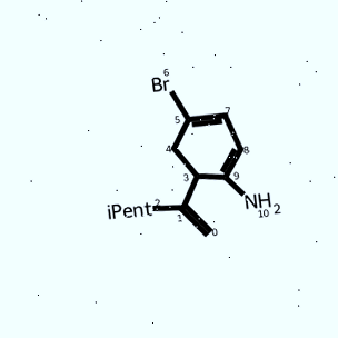 C=C(C(C)CCC)C1CC(Br)=CC=C1N